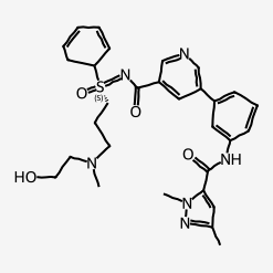 Cc1cc(C(=O)Nc2cccc(-c3cncc(C(=O)N=[S@](=O)(CCCN(C)CCO)C4C=CC=CC4)c3)c2)n(C)n1